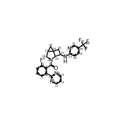 O=C(c1c(F)cccc1-c1ncccn1)N1CC2CC23CC(Nc2ccc(C(F)(F)F)cn2)C13